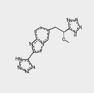 COC(Cc1ccc2nc(-c3nnn[nH]3)cn2c1)c1nnn[nH]1